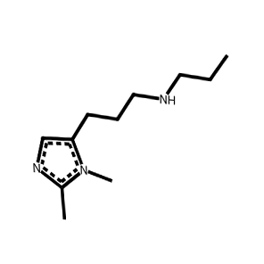 CCCNCCCc1cnc(C)n1C